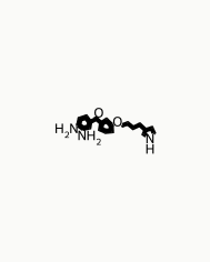 Nc1ccc(C(=O)c2cccc(OCCCCC3CCNC3)c2)cc1N